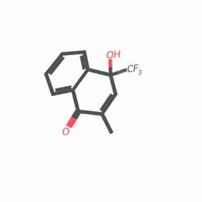 CC1=CC(O)(C(F)(F)F)c2ccccc2C1=O